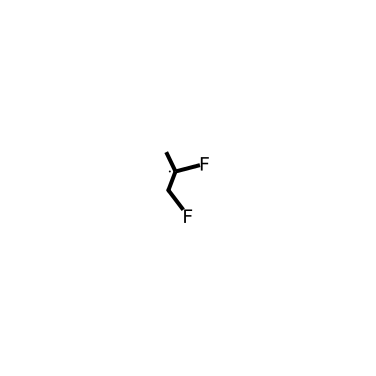 C[C](F)CF